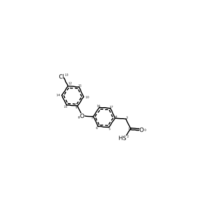 O=C(S)Cc1ccc(Oc2ccc(Cl)cc2)cc1